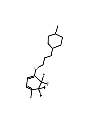 CC1=CC=C(OCCCC2CCC(C)CC2)C(F)(F)C1(F)F